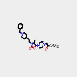 COC(=O)CN1CCN(C2OC(=O)N(CCC3CCN(Cc4ccccc4)CC3)C2C)CC1